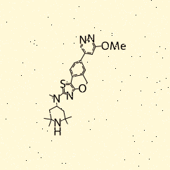 COc1cc(-c2ccc3c(c2)COc2nc(N(C)C4CC(C)(C)NC(C)(C)C4)sc2-3)cnn1